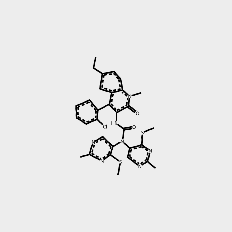 CCc1ccc2c(c1)c(-c1ccccc1Cl)c(NC(=O)N(c1cnc(C)nc1SC)c1cnc(C)nc1SC)c(=O)n2C